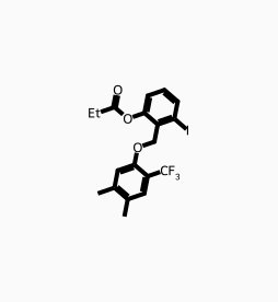 CCC(=O)Oc1cccc(I)c1COc1cc(C)c(C)cc1C(F)(F)F